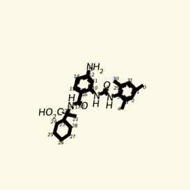 Cc1cc(C)c(NC(=O)Nc2cc(N)ccc2C(=O)N[C@](C)(C(=O)O)C2CCCCC2)c(C)c1